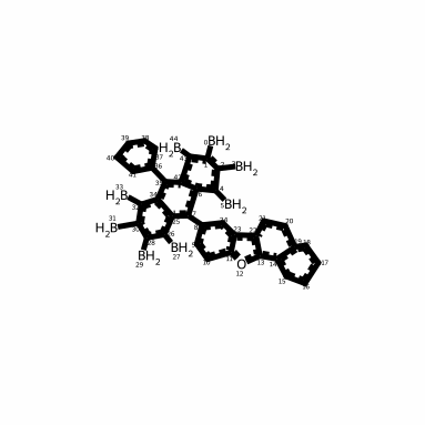 Bc1c(B)c(B)c2c(-c3ccc4oc5c6ccccc6ccc5c4c3)c3c(B)c(B)c(B)c(B)c3c(-c3ccccc3)c2c1B